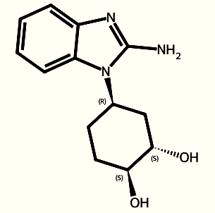 Nc1nc2ccccc2n1[C@@H]1CC[C@H](O)[C@@H](O)C1